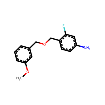 COc1cccc(COCc2ccc(N)cc2F)c1